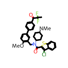 CN[C@H]1CC[C@H](N(Cc2cc(-c3ccc(C(=O)C(C)(F)F)cc3)ccc2OC)C(=O)c2sc3ccccc3c2Cl)CC1